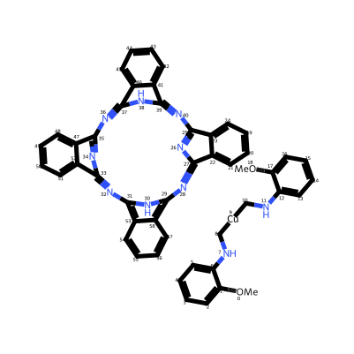 COc1ccccc1N[CH2][Cu][CH2]Nc1ccccc1OC.c1ccc2c(c1)-c1nc-2nc2[nH]c(nc3nc(nc4[nH]c(n1)c1ccccc41)-c1ccccc1-3)c1ccccc21